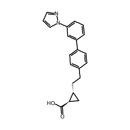 O=C(O)[C@@H]1C[C@H]1CCc1ccc(-c2cccc(-n3cccn3)c2)cc1